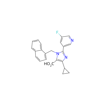 O=C(O)c1c(C2CC2)nc(-c2cncc(F)c2)n1Cc1cccc2ccccc12